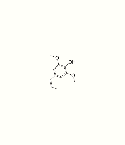 C/C=C\c1cc(OC)c(O)c(OC)c1